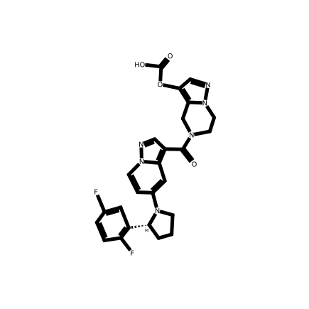 O=C(O)Oc1cnn2c1CN(C(=O)c1cnn3ccc(N4CCC[C@@H]4c4cc(F)ccc4F)cc13)CC2